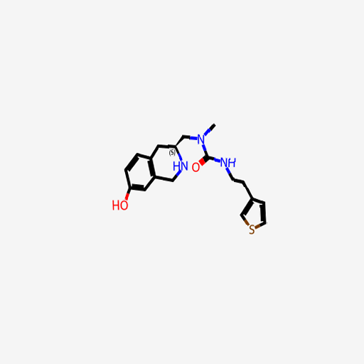 CN(C[C@@H]1Cc2ccc(O)cc2CN1)C(=O)NCCc1ccsc1